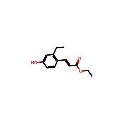 CCOC(=O)C=Cc1ccc(O)cc1CC